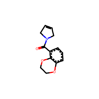 O=C(c1cccc2c1OCCO2)N1CC=CC1